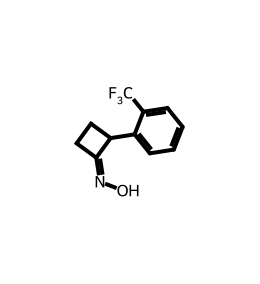 O/N=C1/CCC1c1ccccc1C(F)(F)F